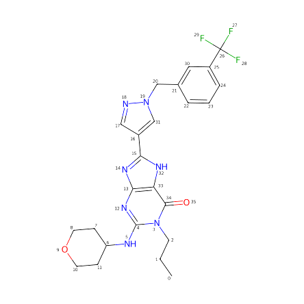 CCCn1c(NC2CCOCC2)nc2nc(-c3cnn(Cc4cccc(C(F)(F)F)c4)c3)[nH]c2c1=O